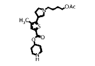 CC(=O)OCCCCN1CCC(c2sc(C(=O)OC3CCNCC3)cc2C)C1